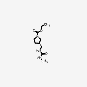 CCOC(=O)N1CC[C@H](CNC(=O)NC)C1